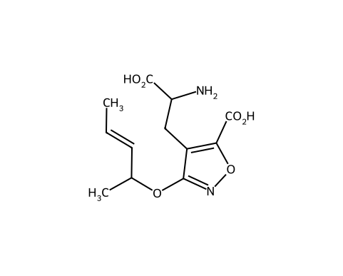 CC=CC(C)Oc1noc(C(=O)O)c1CC(N)C(=O)O